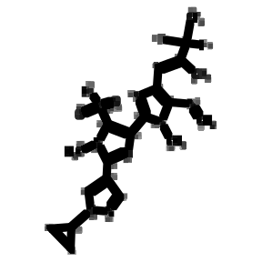 C=Nc1c(/C=C(\C)C(F)(F)C(F)(F)F)nc(-c2nc(-c3cnn(C4CC4)c3)n(C)c2S(=O)(=O)CC)n1C